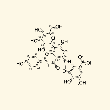 O=C(O)c1cc(O)c(O)c(O)c1.O=c1cc(-c2ccc(O)cc2)oc2c([C@@H]3O[C@H](CO)[C@@H](O)[C@H](O)[C@H]3O)c(O)cc(O)c12